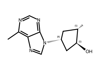 Cc1ncnc2c1ncn2[C@@H]1C[C@H](C)[C@@H](O)C1